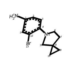 Nc1ccc(N2CCC3(CC3)C2)c(Br)c1